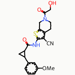 COc1cccc(C2CC2C(=O)Nc2sc3c(c2C#N)CCN(C(=O)CO)C3)c1